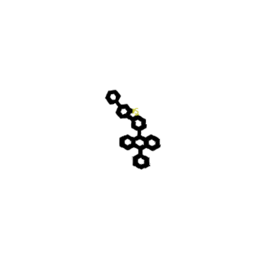 c1ccc(-c2ccc3c(c2)sc2ccc(-c4c5ccccc5c(-c5ccccc5)c5ccccc45)cc23)cc1